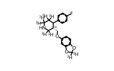 [2H]C1([2H])Oc2ccc(OC[C@H]3C(c4ccc(F)cc4)C([2H])([2H])C([2H])([2H])NC3([2H])[2H])cc2O1